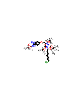 CC(C)(C)OC(=O)/N=C(\N(CCCCCCCBr)C(=O)OC(C)(C)C)N(CCCOc1ccc(C(=N)NC(=O)OC(C)(C)C)cc1)C(=O)OC(C)(C)C